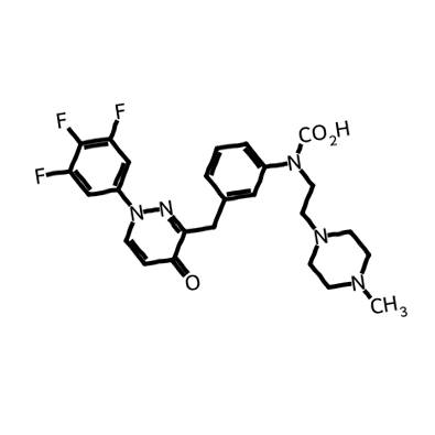 CN1CCN(CCN(C(=O)O)c2cccc(Cc3nn(-c4cc(F)c(F)c(F)c4)ccc3=O)c2)CC1